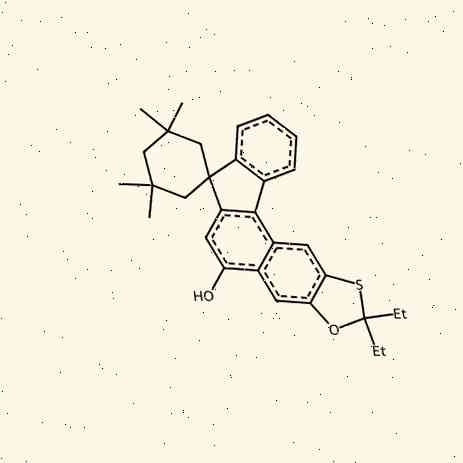 CCC1(CC)Oc2cc3c(O)cc4c(c3cc2S1)-c1ccccc1C41CC(C)(C)CC(C)(C)C1